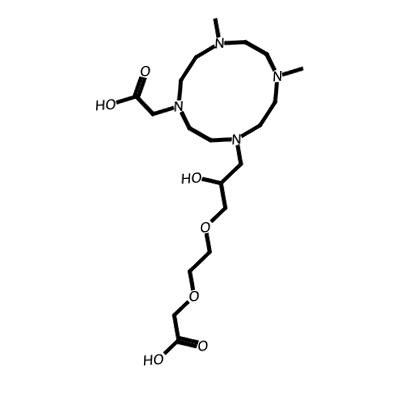 CN1CCN(C)CCN(CC(O)COCCOCC(=O)O)CCN(CC(=O)O)CC1